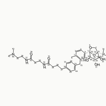 Cc1ccc([C@]23OC[C@](C(C)(C)O)(O2)[C@@H](O)[C@H](O)[C@H]3O)cc1Cc1ccc(CCCC(=O)NCCC(=O)NCCN(C)C)cc1